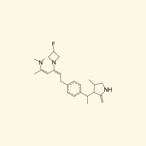 C=C1NCC(C)C1C(C)c1ccc(C/C=C(\C=C(\C)N(C)C)N2CC(F)C2)cc1